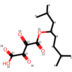 CC(C)CCC(CC(C)C)OC(=O)C(=O)C(=O)C(=O)O